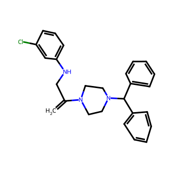 C=C(CNc1cccc(Cl)c1)N1CCN(C(c2ccccc2)c2ccccc2)CC1